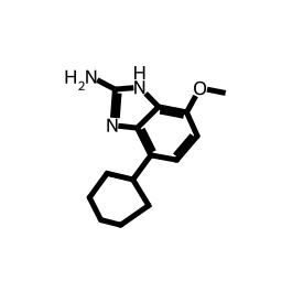 COc1ccc(C2CCCCC2)c2nc(N)[nH]c12